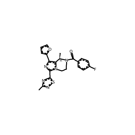 Cc1nsc(-c2nc(-c3ccco3)c3n2CCN(C(=O)c2ccc(F)cc2)[C@@H]3C)n1